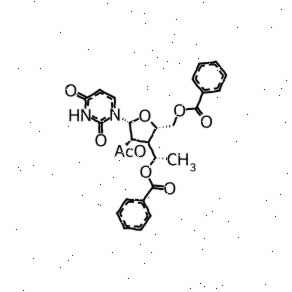 CC(=O)O[C@@H]1C([C@H](C)OC(=O)c2ccccc2)[C@@H](COC(=O)c2ccccc2)O[C@H]1n1ccc(=O)[nH]c1=O